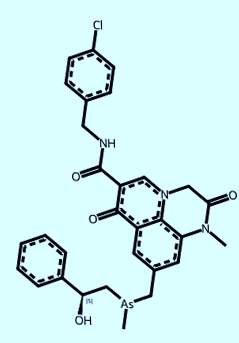 CN1C(=O)Cn2cc(C(=O)NCc3ccc(Cl)cc3)c(=O)c3cc(C[As](C)C[C@@H](O)c4ccccc4)cc1c32